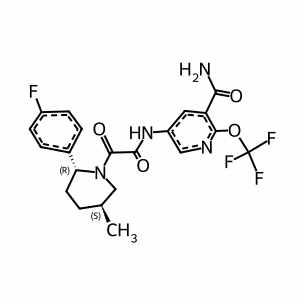 C[C@H]1CC[C@H](c2ccc(F)cc2)N(C(=O)C(=O)Nc2cnc(OC(F)(F)F)c(C(N)=O)c2)C1